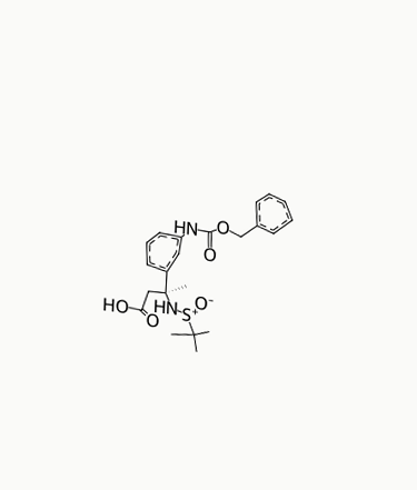 CC(C)(C)[S+]([O-])N[C@@](C)(CC(=O)O)c1cccc(NC(=O)OCc2ccccc2)c1